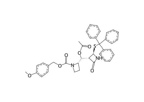 COc1ccc(COC(=O)N2CC[C@H]2C(OC(C)=O)[C@H]2C(=O)N[C@@H]2SC(c2ccccc2)(c2ccccc2)c2ccccc2)cc1